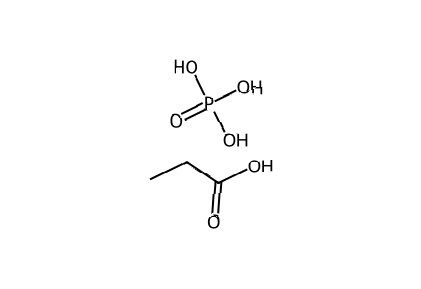 CCC(=O)O.O=P(O)(O)O